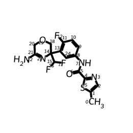 Cc1cnc(C(=O)Nc2ccc(F)c(C3(C(F)F)COCC(N)=N3)c2)s1